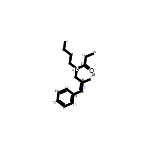 CCCCN(C/C(C)=C\c1ccccc1)C(=O)CC